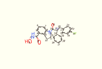 O=C(NO)c1cccc2c1CCN2C(=O)/C(=C/c1ccc(F)cc1)c1ccccc1